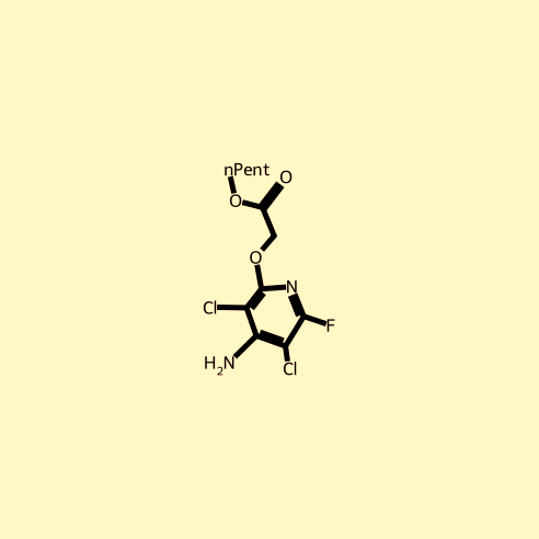 CCCCCOC(=O)COc1nc(F)c(Cl)c(N)c1Cl